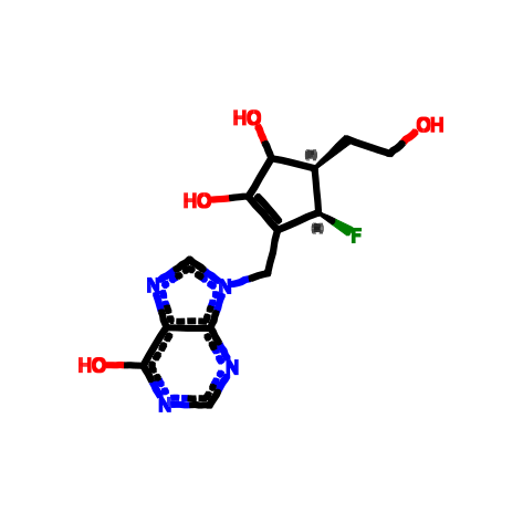 OCC[C@@H]1C(O)C(O)=C(Cn2cnc3c(O)ncnc32)[C@@H]1F